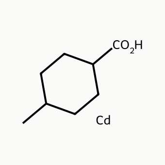 CC1CCC(C(=O)O)CC1.[Cd]